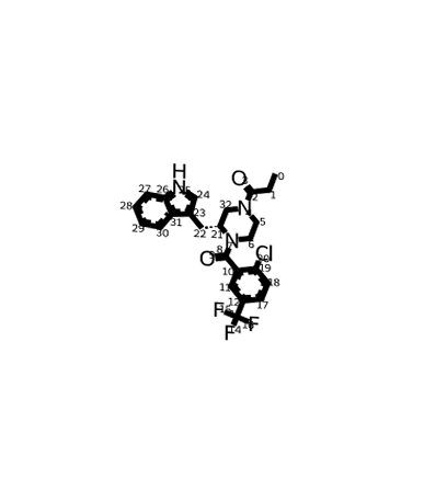 CCC(=O)N1CCN(C(=O)c2cc(C(F)(F)F)ccc2Cl)[C@H](Cc2c[nH]c3ccccc23)C1